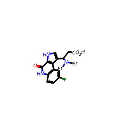 CCN(CC)C(CC(=O)O)c1c[nH]c2c(=O)[nH]c3ccc(F)cc3c12